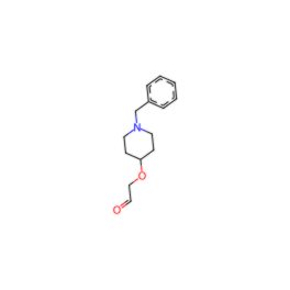 O=CCOC1CCN(Cc2ccccc2)CC1